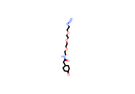 [N-]=[N+]=NCCOCCOCCOCCNC(=O)CC1CCC(=O)CC1